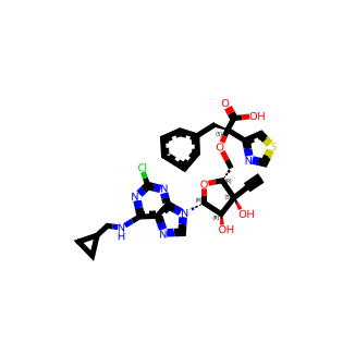 C#C[C@@]1(O)[C@@H](CO[C@](Cc2ccccc2)(C(=O)O)c2cscn2)O[C@@H](n2cnc3c(NCC4CC4)nc(Cl)nc32)[C@@H]1O